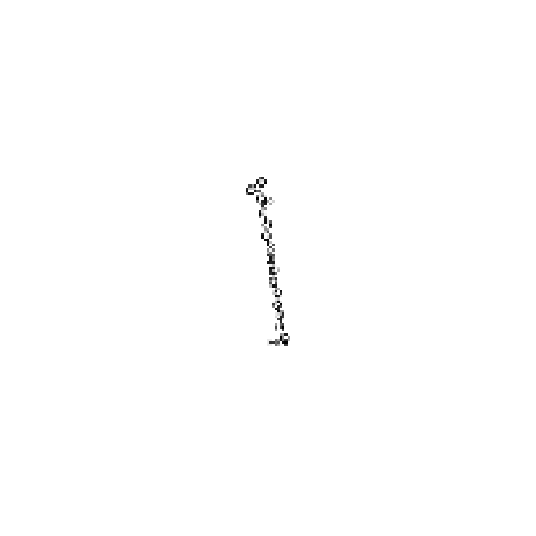 O=C(CCOCCOCCOCCOCCOCCOCCOCCOCCOCCOCCOCCOO)OCC1c2ccccc2-c2ccccc21